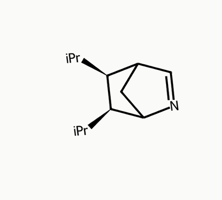 CC(C)[C@@H]1C2CC(C=N2)[C@@H]1C(C)C